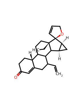 C=CC1CC2=CC(=O)CC[C@@H]2C2CC[C@@]3(CC)C(C12)[C@@H]1C[C@@H]1[C@@]31C=CCO1